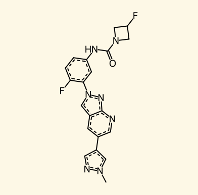 Cn1cc(-c2cnc3nn(-c4cc(NC(=O)N5CC(F)C5)ccc4F)cc3c2)cn1